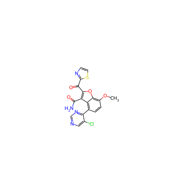 COc1ccc(-c2ncncc2Cl)c2c(C(N)=O)c(C(=O)c3nccs3)oc12